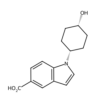 O=C(O)c1ccc2c(ccn2[C@H]2CC[C@@H](O)CC2)c1